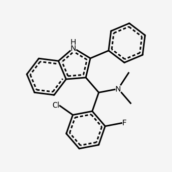 CN(C)C(c1c(F)cccc1Cl)c1c(-c2ccccc2)[nH]c2ccccc12